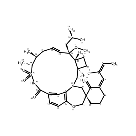 C=C1/C(=C\C(Cl)=C/C)CCC[C@]12COc1ccc3cc1N(C[C@@H]1CC[C@H]1[C@@](C[C@@H](C)O)(OC)/C=C/C[C@H](C)[C@@H](C)S(=O)(=O)NC3=O)C2